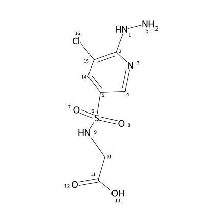 NNc1ncc(S(=O)(=O)NCC(=O)O)cc1Cl